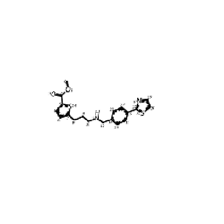 COC(=O)c1ccc(CCCNCc2ccc(-c3nccs3)cc2)s1